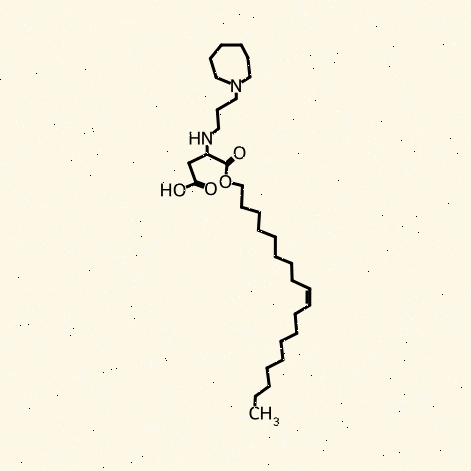 CCCCCCCC/C=C\CCCCCCCCOC(=O)C(CC(=O)O)NCCCN1CCCCCC1